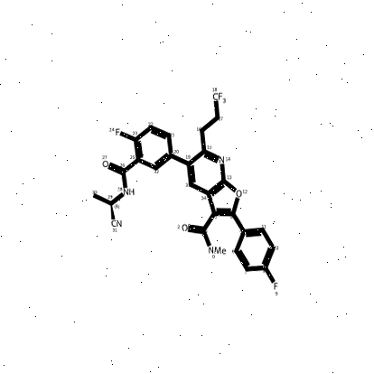 CNC(=O)c1c(-c2ccc(F)cc2)oc2nc(CCC(F)(F)F)c(-c3ccc(F)c(C(=O)N[C@H](C)C#N)c3)cc12